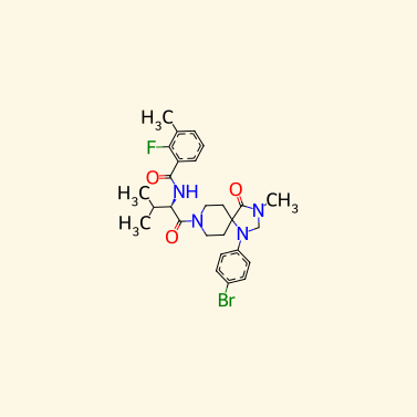 Cc1cccc(C(=O)N[C@@H](C(=O)N2CCC3(CC2)C(=O)N(C)CN3c2ccc(Br)cc2)C(C)C)c1F